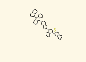 c1ccc2cc3c(cc2c1)sc1cc(-c2ccc4cc(-c5c6ccccc6c(-c6cccc7ccccc67)c6ccccc56)ccc4c2)c2ccccc2c13